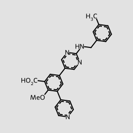 COc1c(C(=O)O)cc(-c2cnc(NCc3cccc(C)c3)nc2)cc1-c1ccncc1